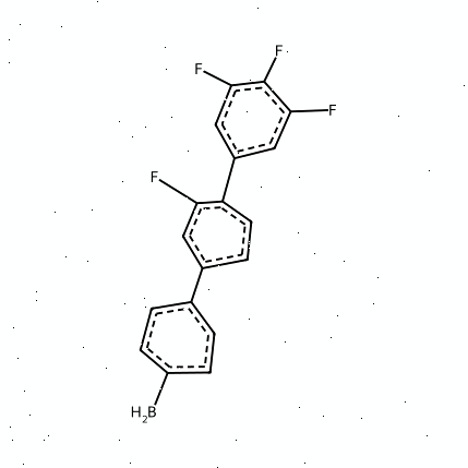 Bc1ccc(-c2ccc(-c3cc(F)c(F)c(F)c3)c(F)c2)cc1